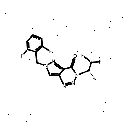 C[C@@H](C(F)F)n1nnc2cn(Cc3c(F)cccc3F)nc2c1=O